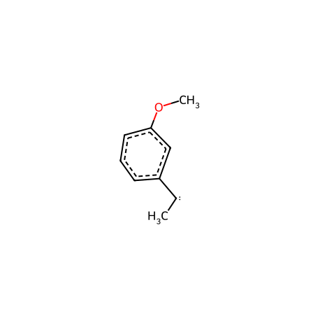 C[C]c1cccc(OC)c1